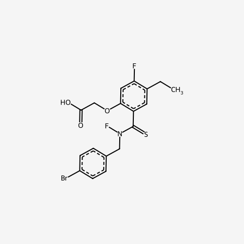 CCc1cc(C(=S)N(F)Cc2ccc(Br)cc2)c(OCC(=O)O)cc1F